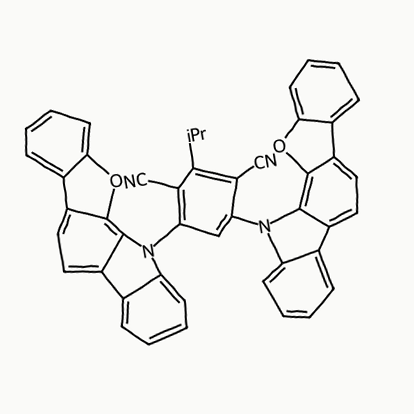 CC(C)c1c(C#N)c(-n2c3ccccc3c3ccc4c5ccccc5oc4c32)cc(-n2c3ccccc3c3ccc4c5ccccc5oc4c32)c1C#N